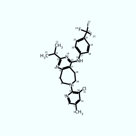 Cc1cnc(N2CCc3nc(C(C)C)nc(Nc4ccc(C(F)(F)F)cc4)c3CC2)c(Cl)c1